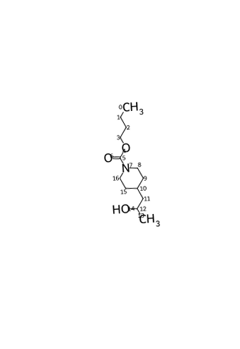 CCCCOC(=O)N1CCC(CC(C)O)CC1